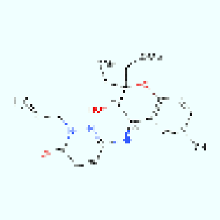 C=CCn1nc(N[C@@H]2c3cc(C#N)ccc3OC(COC)(COC)[C@H]2O)ccc1=O